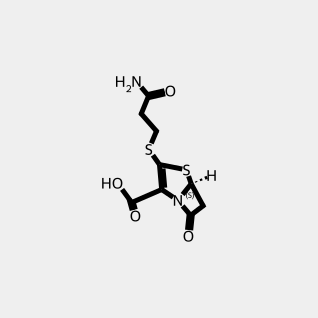 NC(=O)CCSC1=C(C(=O)O)N2C(=O)C[C@@H]2S1